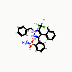 Cc1ccccc1-c1c(-c2ccccc2S(N)(=O)=O)nn(Cc2ccccc2)c1C(F)(F)F